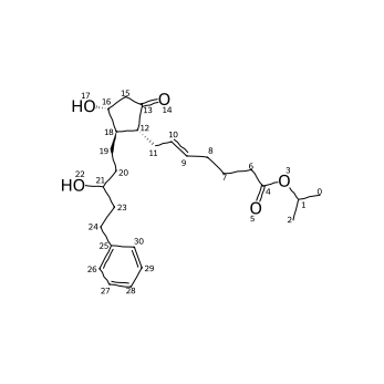 CC(C)OC(=O)CCCC=CC[C@H]1C(=O)C[C@@H](O)[C@@H]1CCC(O)CCc1ccccc1